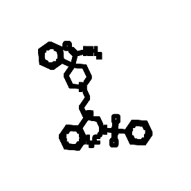 CN(C[C@H](CCN1CCC(C(N)=O)(c2ccccc2)CC1)c1ccccc1)S(=O)(=O)c1ccccc1